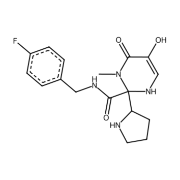 CN1C(=O)C(O)=CNC1(C(=O)NCc1ccc(F)cc1)C1CCCN1